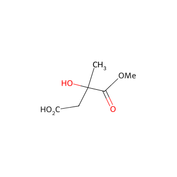 COC(=O)C(C)(O)CC(=O)O